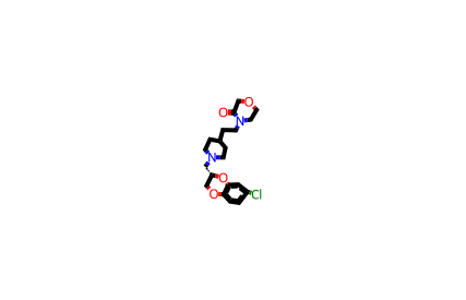 O=C1COCCN1CCC1CCN(C[C@H]2COc3ccc(Cl)cc3O2)CC1